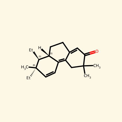 CC[C@H]1[C@@H]2CCC3=CC(=O)C(C)(C)CC3=C2C=C[C@]1(C)CC